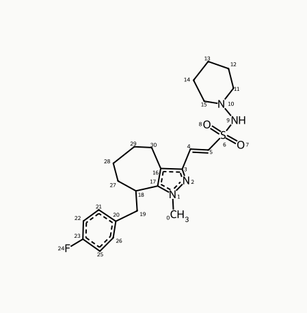 Cn1nc(/C=C/S(=O)(=O)NN2CCCCC2)c2c1C(Cc1ccc(F)cc1)CCCC2